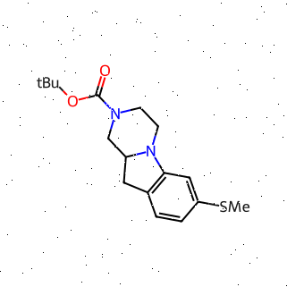 CSc1ccc2c(c1)N1CCN(C(=O)OC(C)(C)C)CC1C2